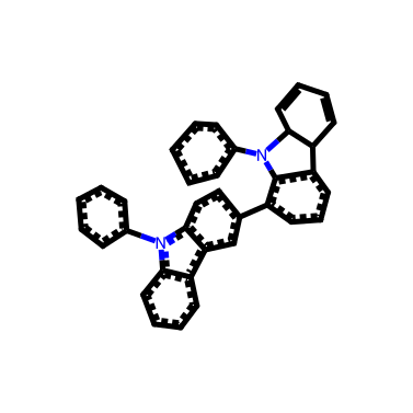 C1=CC2c3cccc(-c4ccc5c(c4)c4ccccc4n5-c4ccccc4)c3N(c3ccccc3)C2C=C1